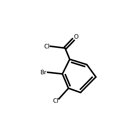 O=C(Cl)c1cccc(Cl)c1Br